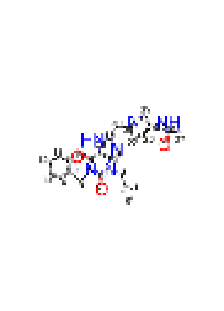 CCCCn1c(=O)n(Cc2ccccc2)c(=O)c2[nH]c(Cc3ccc(NC(C)=O)cn3)nc21